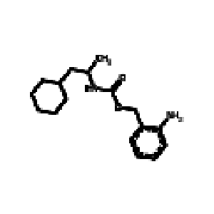 CC(CC1CCCCC1)NC(=O)OCc1ccccc1N